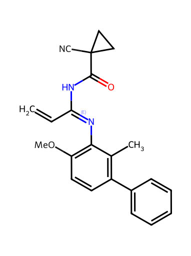 C=C/C(=N\c1c(OC)ccc(-c2ccccc2)c1C)NC(=O)C1(C#N)CC1